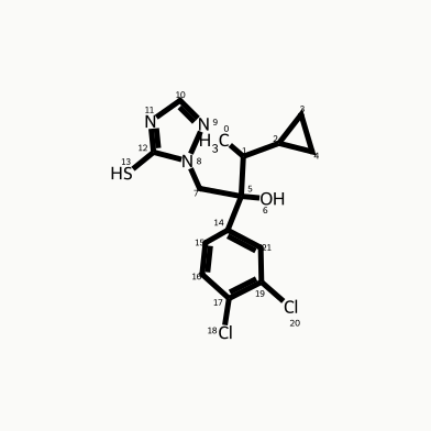 CC(C1CC1)C(O)(Cn1ncnc1S)c1ccc(Cl)c(Cl)c1